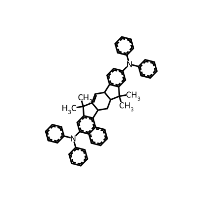 CC1(C)C2=CC3c4ccc(N(c5ccccc5)c5ccccc5)cc4C(C)(C)C3CC2c2c1cc(N(c1ccccc1)c1ccccc1)c1ccccc21